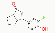 O=C1C=C(c2ccc(O)c(F)c2)C2CCCC12